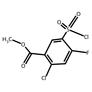 COC(=O)c1cc(S(=O)(=O)Cl)c(F)cc1Cl